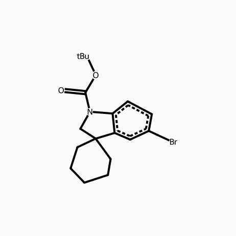 CC(C)(C)OC(=O)N1CC2(CCCCC2)c2cc(Br)ccc21